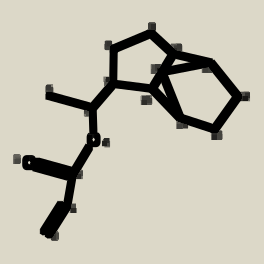 C=CC(=O)OC(C)C1CCC2C3CCC(C3)C21